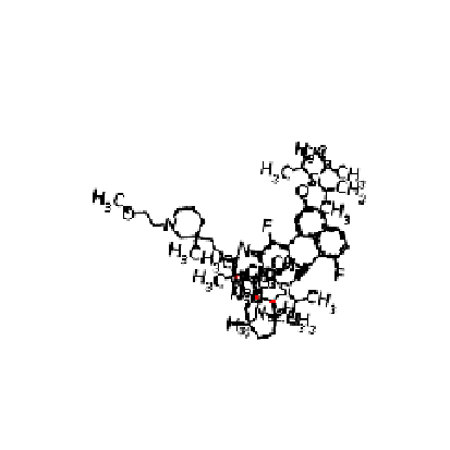 COCCN1CCCC(C)(COc2nc(N3C[C@H]4CC[C@@H](C3)N4C(=O)OC(C)(C)C)c3cc(F)c(-c4cc(O[Si](C(C)C)(C(C)C)C(C)C)cc5ccc(F)c(C#C[Si](C(C)C)(C(C)C)C(C)C)c45)c(F)c3n2)C1